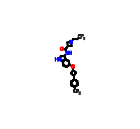 O=C(Nc1c[nH]c2ccc(O[C@H]3C[C@H](c4ccc(C(F)(F)F)cc4)C3)cc12)C1CN(CCC(F)(F)F)C1